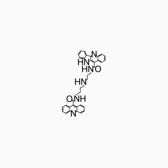 O=C(NCCCCNCCCNC(=O)c1c2ccccc2nc2c1[nH]c1ccccc12)c1c2ccccc2nc2ccccc12